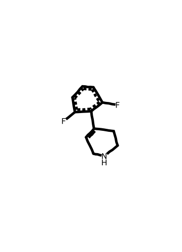 Fc1cccc(F)c1C1=CCNCC1